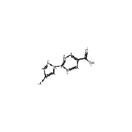 O=C(O)c1cnc(-n2cc(F)cn2)nc1